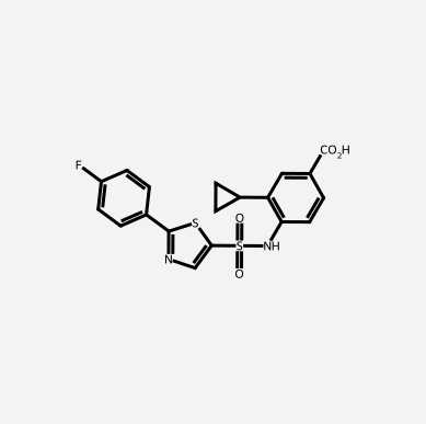 O=C(O)c1ccc(NS(=O)(=O)c2cnc(-c3ccc(F)cc3)s2)c(C2CC2)c1